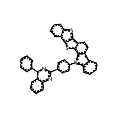 c1ccc(-c2nc(-c3ccc(-n4c5ccccc5c5ccc6c7sc8ccccc8c7sc6c54)cc3)nc3ccccc23)cc1